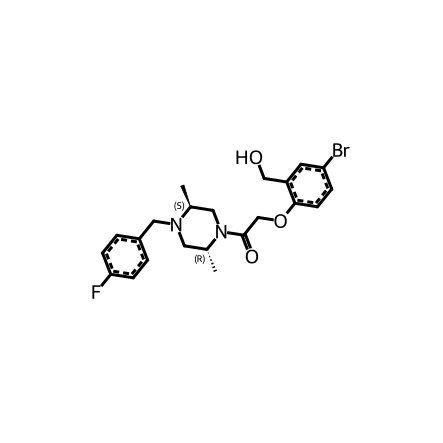 C[C@@H]1CN(Cc2ccc(F)cc2)[C@@H](C)CN1C(=O)COc1ccc(Br)cc1CO